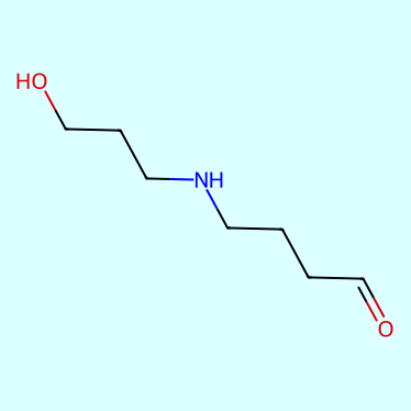 O=CCCCNCCCO